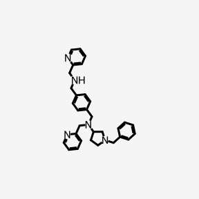 c1ccc(CN2CCC(N(Cc3ccc(CNCc4ccccn4)cc3)Cc3ccccn3)C2)cc1